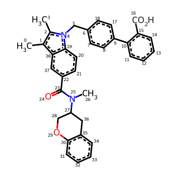 Cc1c(C)n(Cc2ccc(-c3ccccc3C(=O)O)cc2)c2ccc(C(=O)N(C)C3COc4ccccc4C3)cc12